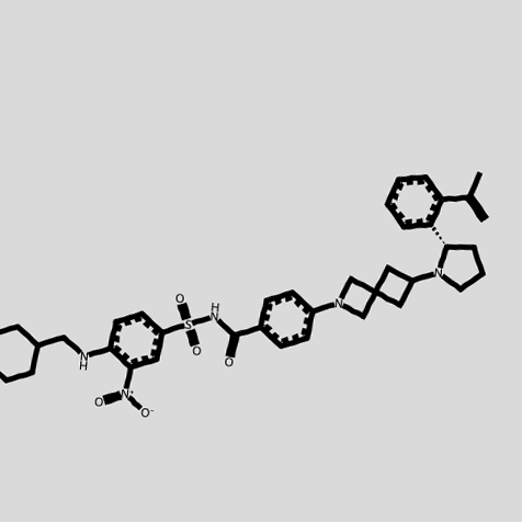 C=C(C)c1ccccc1[C@@H]1CCCN1C1CC2(C1)CN(c1ccc(C(=O)NS(=O)(=O)c3ccc(NCC4CCOCC4)c([N+](=O)[O-])c3)cc1)C2